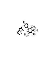 CC1OC(c2ccc(F)c(Cc3cc4ccccc4s3)c2)C(C)C(O)C1O